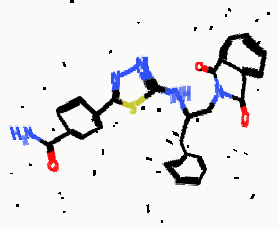 NC(=O)c1ccc(-c2nnc(NC(Cc3ccccc3)CN3C(=O)c4ccccc4C3=O)s2)cc1